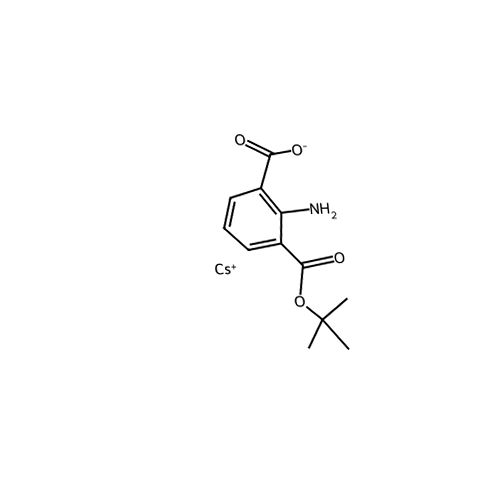 CC(C)(C)OC(=O)c1cccc(C(=O)[O-])c1N.[Cs+]